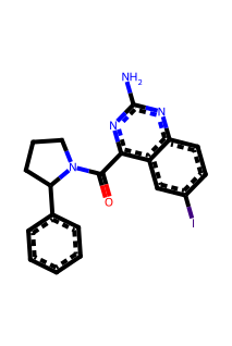 Nc1nc(C(=O)N2CCCC2c2ccccc2)c2cc(I)ccc2n1